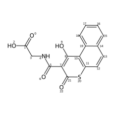 O=C(O)CNC(=O)c1c(O)c2c(ccc3ccccc32)sc1=O